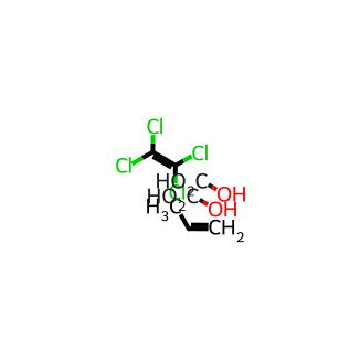 C=CC.ClC(Cl)=C(Cl)Cl.O=C(O)O.O=C(O)O